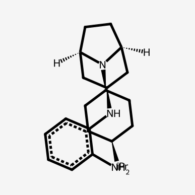 CC(C)[C@H]1CC[C@@H](N2[C@@H]3CC[C@H]2C[C@@H](Nc2ccccc2N)C3)CC1